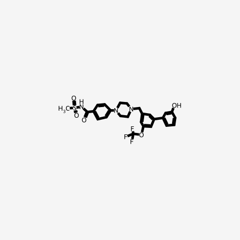 CS(=O)(=O)NC(=O)c1ccc(N2CCN(Cc3cc(OC(F)(F)F)cc(-c4cccc(O)c4)c3)CC2)cc1